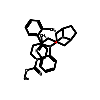 Cc1ccccc1C1(CCN2C3CCC2CC(n2c(C)nc4ccccc42)C3)CCN(C(=O)OC(C)(C)C)CC1